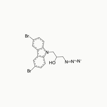 [N-]=[N+]=NCC(O)Cn1c2ccc(Br)cc2c2cc(Br)ccc21